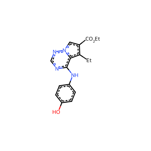 CCOC(=O)c1cn2ncnc(Nc3ccc(O)cc3)c2c1CC